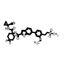 COc1cc(-c2ccc3cc(C(=O)NC4(C(=O)NC5(C#N)CC5)CCC(F)(F)CC4)oc3c2)ccc1CCS(C)(=O)=O